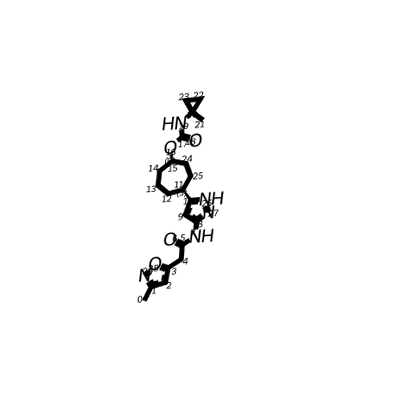 Cc1cc(CC(=O)Nc2cc([C@H]3CCC[C@@H](OC(=O)NC4(C)CC4)CC3)[nH]n2)on1